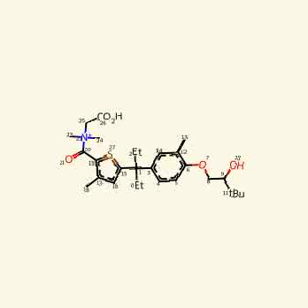 CCC(CC)(c1ccc(OCC(O)C(C)(C)C)c(C)c1)c1cc(C)c(C(=O)[N+](C)(C)CC(=O)O)s1